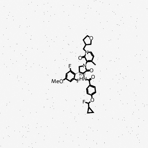 COc1cc(F)c([C@@H]2CN(c3c(C)ccn(CC4CCOC4)c3=O)C(=O)[C@H]2NC(=O)c2ccc(OC(F)C3CC3)cc2)c(F)c1